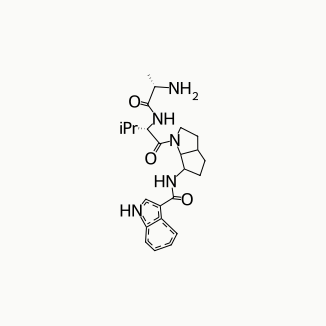 CC(C)[C@H](NC(=O)[C@H](C)N)C(=O)N1CCC2CCC(NC(=O)c3c[nH]c4ccccc34)C21